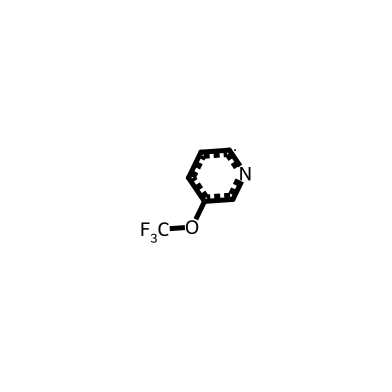 FC(F)(F)Oc1cc[c]nc1